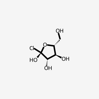 OC[C@H]1O[C@@](O)(Cl)[C@@H](O)[C@@H]1O